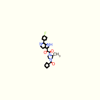 CC1CN(C(=O)c2ccccc2)CCN1C(=O)C(=O)c1c[nH]c2c(-c3ccc(F)cc3)nccc12